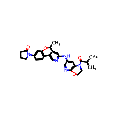 CC(=O)OC(C)C(=O)N1CCOc2ncc(Nc3cc4c(cn3)-c3ccc(N5CCCC5=O)cc3OC4C)cc21